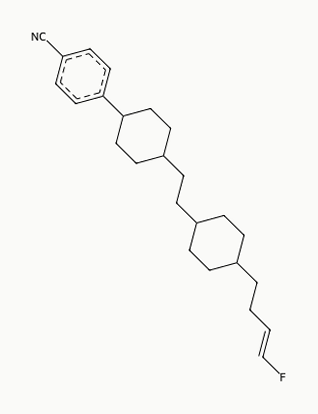 N#Cc1ccc(C2CCC(CCC3CCC(CCC=CF)CC3)CC2)cc1